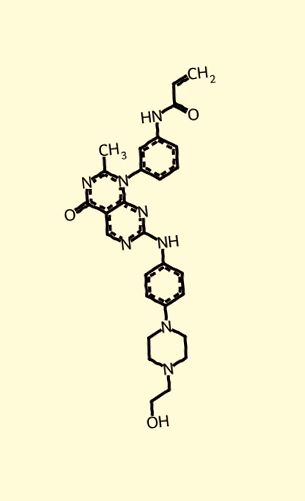 C=CC(=O)Nc1cccc(-n2c(C)nc(=O)c3cnc(Nc4ccc(N5CCN(CCO)CC5)cc4)nc32)c1